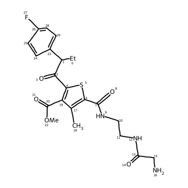 CCC(C(=O)c1sc(C(=O)NCCNC(=O)CN)c(C)c1C(=O)OC)c1ccc(F)cc1